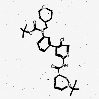 CC(C)(C)OC(=O)N(CC1CCOCC1)c1cccc(-c2cc(NC(=O)[C@@H]3CCCN(C(C)(C)C)C3)ncc2Cl)c1